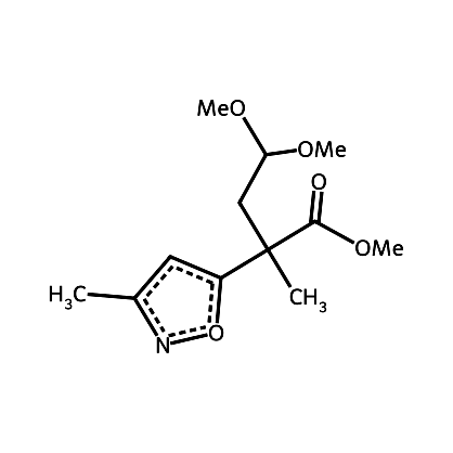 COC(=O)C(C)(CC(OC)OC)c1cc(C)no1